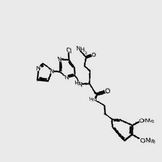 COc1ccc(CCNC(=O)C(CCC(N)=O)Nc2cc(Cl)nc(-n3ccnc3)n2)cc1OC